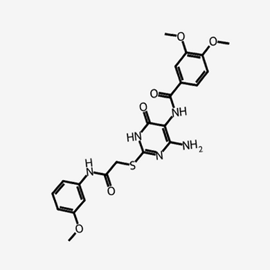 COc1cccc(NC(=O)CSc2nc(N)c(NC(=O)c3ccc(OC)c(OC)c3)c(=O)[nH]2)c1